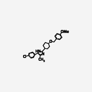 COc1ccc(COC2CCC(c3nc(C)c(-c4ccc(Cl)cc4)[nH]3)CC2)cc1